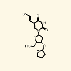 O=c1[nH]c(=O)n([C@H]2C[C@H](OC3CCCO3)[C@@H](CO)O2)cc1/C=C/Br